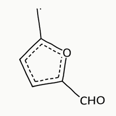 [CH2]c1ccc(C=O)o1